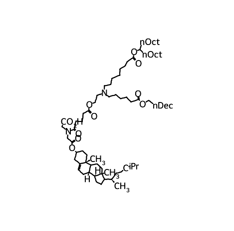 CCCCCCCCCCCOC(=O)CCCCCN(CCCCCCCC(=O)OC(CCCCCCCC)CCCCCCCC)CCOC(=O)CCCC(=O)N(CC(=O)O)CC(=O)O[C@H]1CC[C@@]2(C)C(=CC[C@@H]3C2CC[C@]2(C)C([C@H](C)CCCC(C)C)CC[C@@H]32)C1